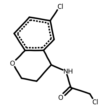 O=C(CCl)NC1CCOc2ccc(Cl)cc21